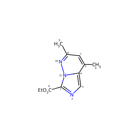 CCOC(=O)c1ncc2c(C)cc(C)nn12